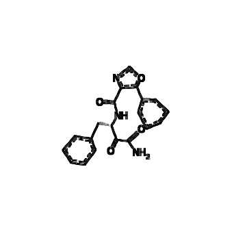 NC(=O)C(=O)[C@H](Cc1ccccc1)NC(=O)c1ncoc1-c1ccccc1